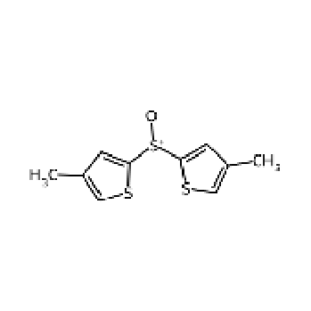 Cc1csc([S+]([O-])c2cc(C)cs2)c1